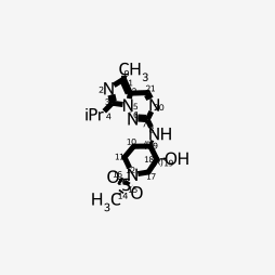 Cc1nc(C(C)C)n2nc(N[C@@H]3CCN(S(C)(=O)=O)C[C@H]3O)ncc12